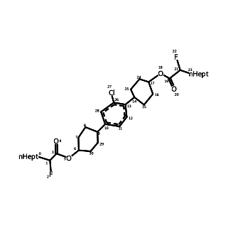 CCCCCCCC(F)C(=O)OC1CCC(c2ccc(C3CCC(OC(=O)C(F)CCCCCCC)CC3)c(Cl)c2)CC1